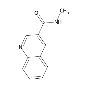 CNC(=O)c1cnc2ccccc2c1